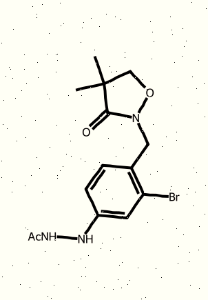 CC(=O)NNc1ccc(CN2OCC(C)(C)C2=O)c(Br)c1